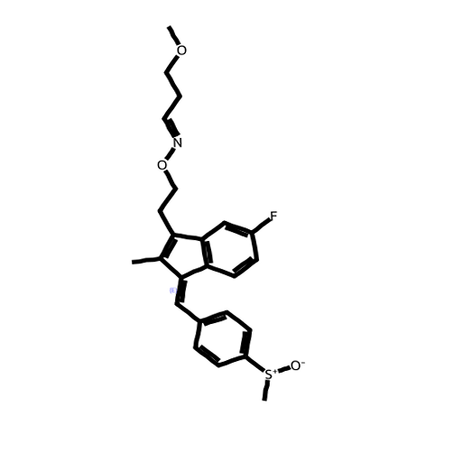 COCCC=NOCCC1=C(C)/C(=C/c2ccc([S+](C)[O-])cc2)c2ccc(F)cc21